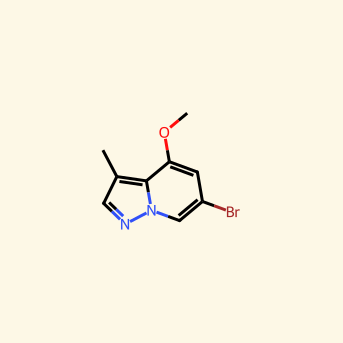 COc1cc(Br)cn2ncc(C)c12